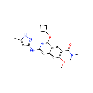 COc1cc2cc(Nc3cc(C)[nH]n3)nc(OC3CCC3)c2cc1C(=O)N(C)C